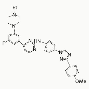 CCN1CCN(c2cc(F)cc(-c3ccnc(Nc4ccc(-n5cnc(-c6ccc(OC)nc6)n5)cc4)n3)c2)CC1